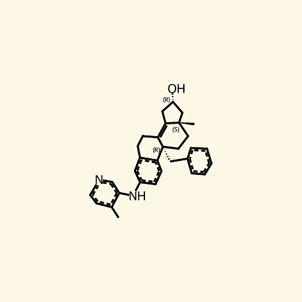 Cc1ccncc1Nc1ccc2c(c1)CCC1=C3C[C@H](O)C[C@]3(C)CC[C@]12Cc1ccccc1